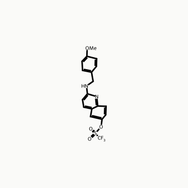 COc1ccc(CNc2ccc3cc(OS(=O)(=O)C(F)(F)F)ccc3n2)cc1